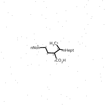 CCCCCCCCCCCC(C(=O)O)C(C)CCCCCCC